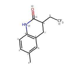 Cc1ccc2c(c1)CC(CC(F)(F)F)C(=O)N2